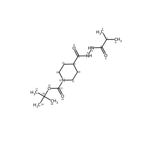 CC(C)C(=O)NNC(=O)C1CCN(C(=O)OC(C)(C)C)CC1